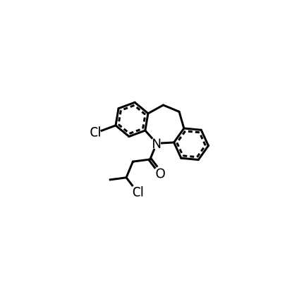 CC(Cl)CC(=O)N1c2ccccc2CCc2ccc(Cl)cc21